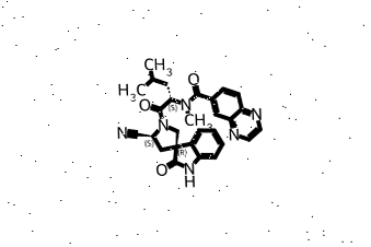 CC(C)C[C@@H](C(=O)N1C[C@]2(C[C@H]1C#N)C(=O)Nc1ccccc12)N(C)C(=O)c1ccc2nccnc2c1